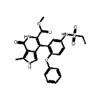 CCS(=O)(=O)Nc1ccc(Oc2ccccc2)c(-c2c(C(=O)OC)[nH]c(=O)c3c(C)[nH]cc23)c1